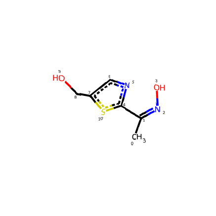 C/C(=N/O)c1ncc(CO)s1